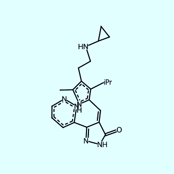 Cc1[nH]c(/C=C2/C(=O)NN=C2c2cccnn2)c(C(C)C)c1CCNC1CC1